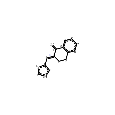 O=C1/C(=C/c2cncs2)CCc2ccccc21